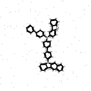 C1=CC(c2ccccc2)CC=C1N(c1ccc(-c2ccc(-n3c4ccccc4c4cc5ccccc5cc43)cc2)cc1)c1ccc2oc3ccccc3c2c1